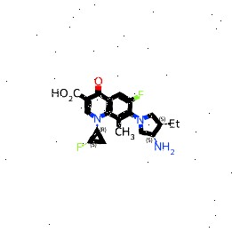 CC[C@H]1CN(c2c(F)cc3c(=O)c(C(=O)O)cn([C@@H]4C[C@@H]4F)c3c2C)C[C@H]1N